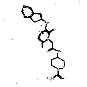 Cc1cnc(NC2Cc3ccccc3C2)c(=O)n1CC(=O)NC1CCN(C(=N)N)OC1